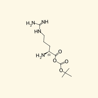 CC(C)(C)OC(=O)OC(=O)[C@@H](N)CCCNC(=N)N